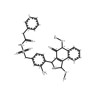 CCOC1NC(c2ccc(CS(=O)(=O)NC(=O)Cc3cccnc3)cc2C)C2=C1c1ncccc1C(OCC)C2=O